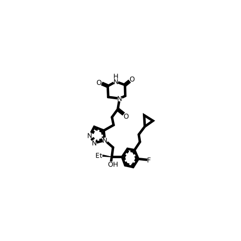 CC[C@@](O)(Cn1nncc1CCC(=O)N1CC(=O)NC(=O)C1)c1ccc(F)c(CCC2CC2)c1